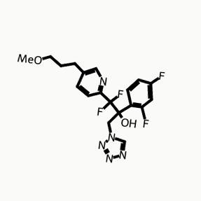 COCCCc1ccc(C(F)(F)C(O)(Cn2cnnn2)c2ccc(F)cc2F)nc1